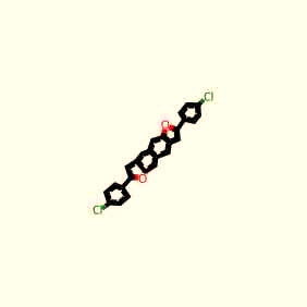 Clc1ccc(-c2cc3cc4cc5oc(-c6ccc(Cl)cc6)cc5cc4cc3o2)cc1